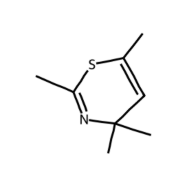 CC1=CC(C)(C)N=C(C)S1